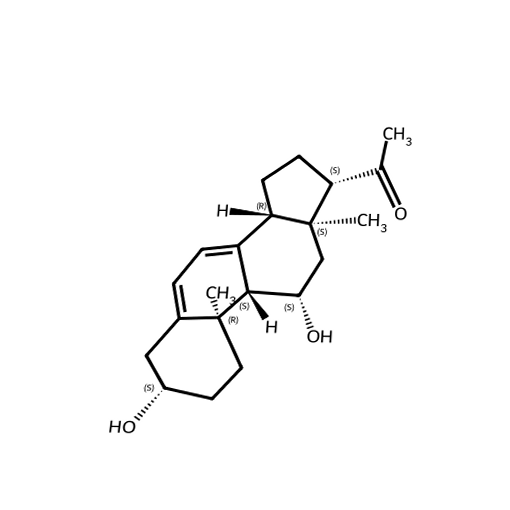 CC(=O)[C@H]1CC[C@H]2C3=CC=C4C[C@@H](O)CC[C@]4(C)[C@H]3[C@@H](O)C[C@]12C